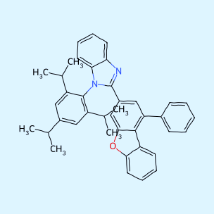 CC(C)c1cc(C(C)C)c(-n2c(-c3cc(-c4ccccc4)c4c(c3)oc3ccccc34)nc3ccccc32)c(C(C)C)c1